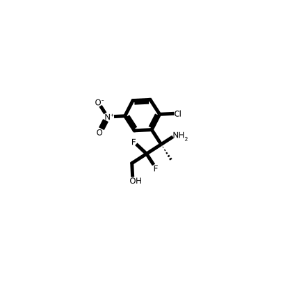 C[C@@](N)(c1cc([N+](=O)[O-])ccc1Cl)C(F)(F)CO